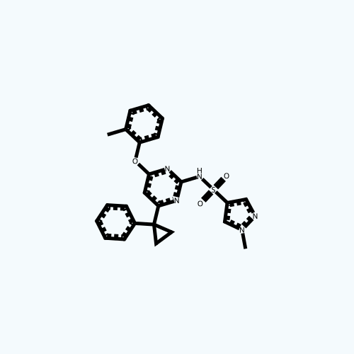 Cc1ccccc1Oc1cc(C2(c3ccccc3)CC2)nc(NS(=O)(=O)c2cnn(C)c2)n1